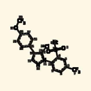 CCS(=O)(=O)c1cc(C(F)(F)F)ccc1-n1ncc(-c2ccc(OC(F)(F)F)cc2)c1Cl